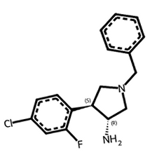 N[C@H]1CN(Cc2ccccc2)C[C@@H]1c1ccc(Cl)cc1F